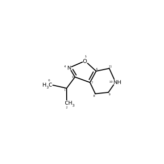 CC(C)c1noc2c1CCNC2